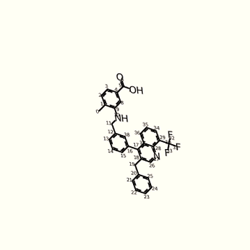 Cc1ccc(C(=O)O)cc1NCc1cccc(-c2c(Cc3ccccc3)cnc3c(C(F)(F)F)cccc23)c1